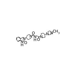 CN1CCN(C2CCN(C(=O)CNC(=O)N3CCC(N4Cc5ccccc5NC4=O)CC3)CC2)CC1